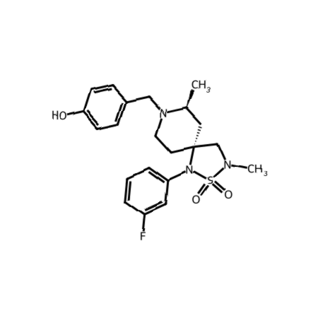 C[C@H]1C[C@]2(CCN1Cc1ccc(O)cc1)CN(C)S(=O)(=O)N2c1cccc(F)c1